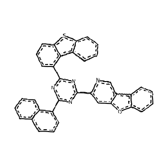 c1ccc2c(-c3nc(-c4cc5oc6ccccc6c5cn4)nc(-c4cccc5sc6ccccc6c45)n3)cccc2c1